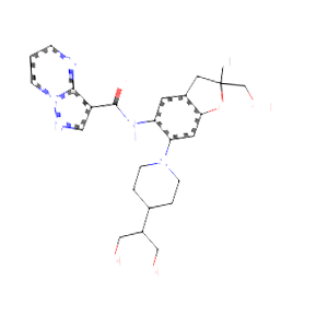 CC1(CO)Cc2cc(NC(=O)c3cnn4cccnc34)c(N3CCC(C(CO)CO)CC3)cc2O1